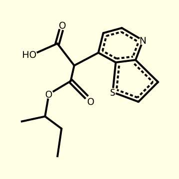 CCC(C)OC(=O)C(C(=O)O)c1ccnc2ccsc12